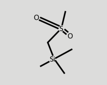 C[Si](C)(C)CS(C)(=O)=O